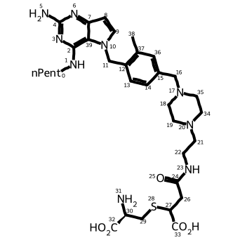 CCCCCNc1nc(N)nc2ccn(Cc3ccc(CN4CCN(CCNC(=O)CC(SC[C@H](N)C(=O)O)C(=O)O)CC4)cc3C)c12